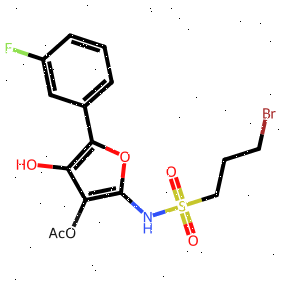 CC(=O)Oc1c(NS(=O)(=O)CCCBr)oc(-c2cccc(F)c2)c1O